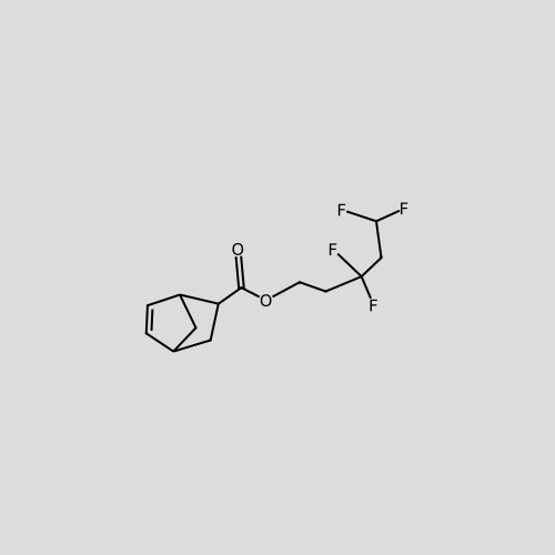 O=C(OCCC(F)(F)CC(F)F)C1CC2C=CC1C2